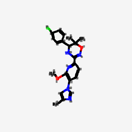 COc1nc(C2=NOC(C)(C)C(c3ccc(Cl)cc3)N2)ccc1-n1cnc(C)c1